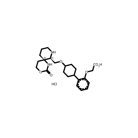 Cl.O=C(O)COc1ccccc1C1CCC(OC[C@@H]2NCCC[C@@]23CCOC(=O)N3)CC1